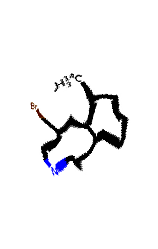 [14CH3]c1cccc2cncc(Br)c12